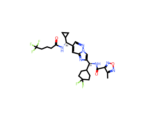 Cc1nonc1C(=O)N[C@H](c1cn2ncc([C@H](NC(=O)CCCC(F)(F)F)C3CC3)cc2n1)C1CCC(F)(F)CC1